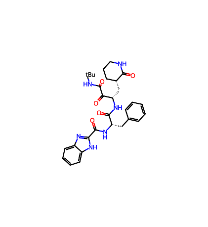 CC(C)(C)NC(=O)C(=O)[C@H](C[C@@H]1CCCNC1=O)NC(=O)[C@H](Cc1ccccc1)NC(=O)c1nc2ccccc2[nH]1